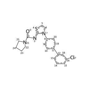 O=C(N=c1sccn1-c1ccc(-c2cccc(Cl)c2)cc1)N1CCCC1